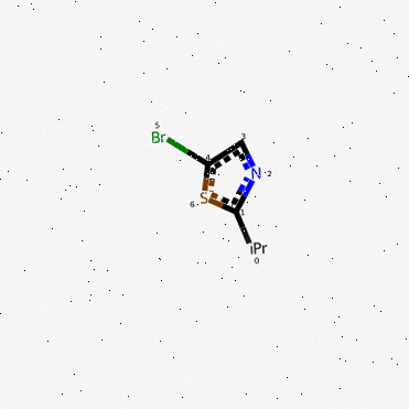 CC(C)c1ncc(Br)s1